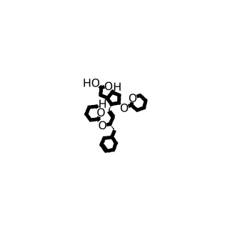 OC1C[C@@H]2[C@@H](/C=C/[C@H](CC3CC=CCC3)OC3CCCCO3)[C@H](OC3CCCCO3)C[C@@H]2O1